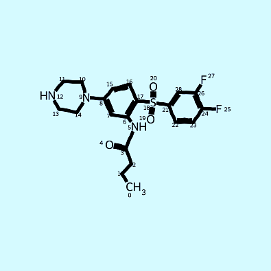 CCCC(=O)Nc1cc(N2CCNCC2)ccc1S(=O)(=O)c1ccc(F)c(F)c1